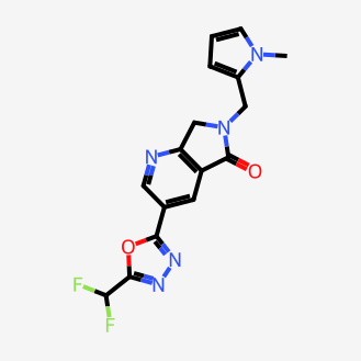 Cn1cccc1CN1Cc2ncc(-c3nnc(C(F)F)o3)cc2C1=O